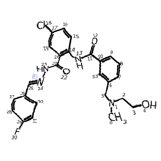 CN(CCO)Cc1cccc(C(=O)Nc2ccc(Cl)cc2C(=O)N/N=C/c2ccc(F)cc2)c1